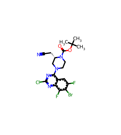 CC(C)(C)OC(=O)N1CCN(c2nc(Cl)nc3c(F)c(Br)c(F)cc23)C[C@@H]1CC#N